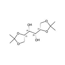 CC1(C)OC[C@@H]([C@H](O)[C@@H](O)[C@@H]2COC(C)(C)O2)O1